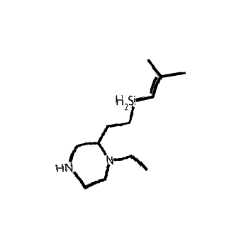 CCN1CCNCC1CC[SiH2]C=C(C)C